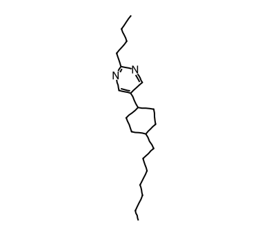 CCCCCCCC1CCC(c2cnc(CCCC)nc2)CC1